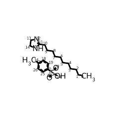 CCCCCCCCCCCC1=NCCN1.Cc1ccc(S(=O)(=O)O)cc1